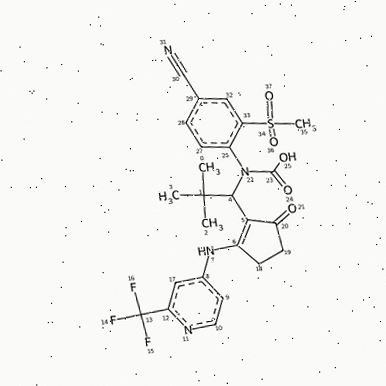 CC(C)(C)C(C1=C(Nc2ccnc(C(F)(F)F)c2)CCC1=O)N(C(=O)O)c1ccc(C#N)cc1S(C)(=O)=O